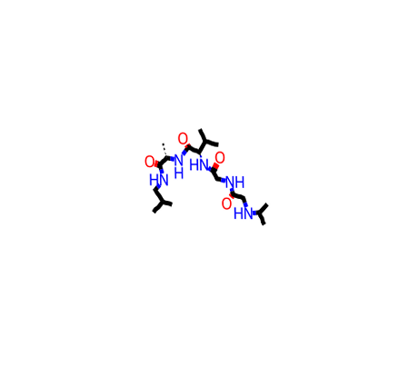 CC(C)CNC(=O)[C@H](C)NC(=O)[C@@H](NC(=O)CNC(=O)CNC(C)C)C(C)C